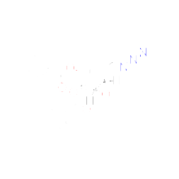 C[C@@H]1[C@@H](CN=[N+]=[N-])[C@@H]2O[C@@H]2[C@H](OC(=O)c2ccccc2)[C@H]1OC(=O)c1ccccc1